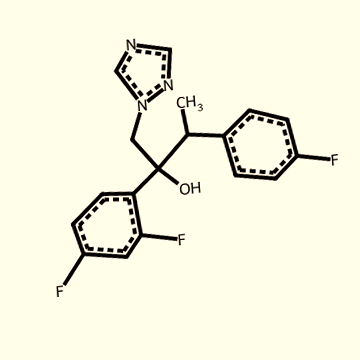 CC(c1ccc(F)cc1)C(O)(Cn1cncn1)c1ccc(F)cc1F